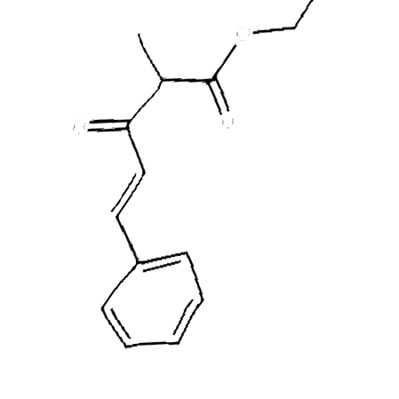 CCOC(=O)C(C)C(=O)C=Cc1ccccc1